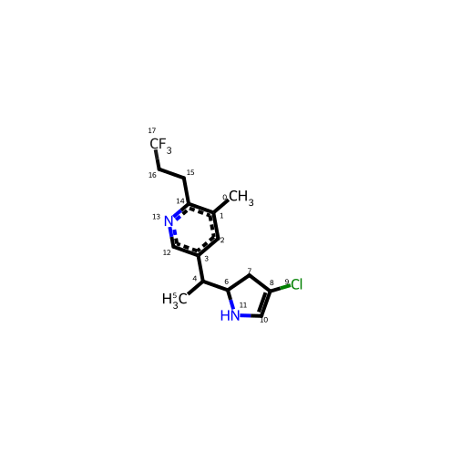 Cc1cc(C(C)C2CC(Cl)=CN2)cnc1CCC(F)(F)F